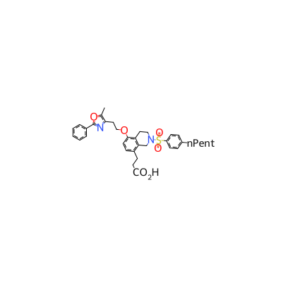 CCCCCc1ccc(S(=O)(=O)N2CCc3c(OCCc4nc(-c5ccccc5)oc4C)ccc(CCC(=O)O)c3C2)cc1